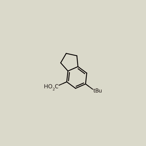 CC(C)(C)c1cc2c(c(C(=O)O)c1)CCC2